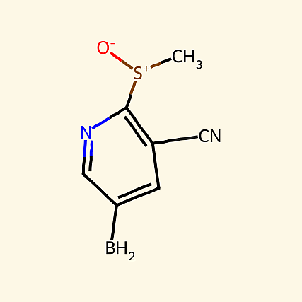 Bc1cnc([S+](C)[O-])c(C#N)c1